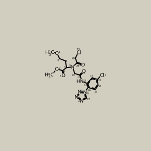 COCCC(C(=O)OC)N(CC(=O)Nc1cc(Cl)ccc1-n1cnnn1)C(=O)CCl